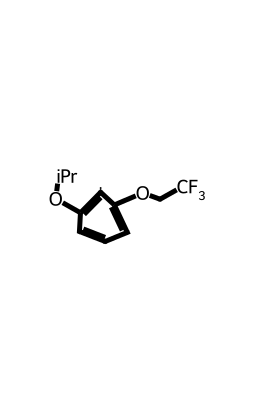 CC(C)Oc1[c]c(OCC(F)(F)F)ccc1